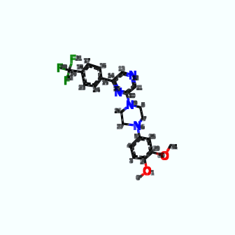 COc1ccc(N2CCN(c3cncc(-c4ccc(C(F)(F)F)cc4)n3)CC2)cc1OC